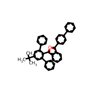 CC(C)(C)c1cc(-c2ccccc2)c(-c2oc(-c3ccc(-c4ccccc4)cc3)c3ccccc23)c(-c2ccccc2)c1